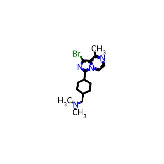 Cc1nccn2c(C3CCC(CN(C)C)CC3)nc(Br)c12